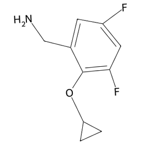 NCc1cc(F)cc(F)c1OC1CC1